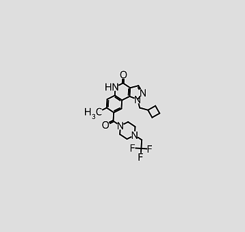 Cc1cc2[nH]c(=O)c3cnn(CC4CCC4)c3c2cc1C(=O)N1CCN(CC(F)(F)F)CC1